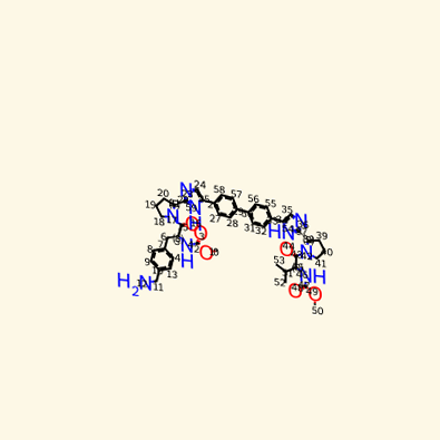 COC(=O)N[C@@H](Cc1ccc(CN)cc1)C(=O)N1CCC[C@H]1c1ncc(-c2ccc(-c3ccc(-c4cnc([C@@H]5CCCN5C(=O)[C@@H](NC(=O)OC)C(C)C)[nH]4)cc3)cc2)[nH]1